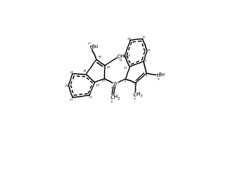 [CH2]=[Zr]([CH]1C(C)=C(C(C)(C)C)c2ccccc21)[CH]1C(C)=C(C(C)(C)C)c2ccccc21